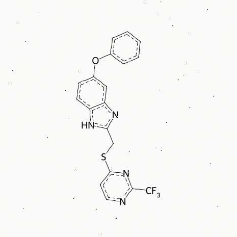 FC(F)(F)c1nccc(SCc2nc3cc(Oc4ccccc4)ccc3[nH]2)n1